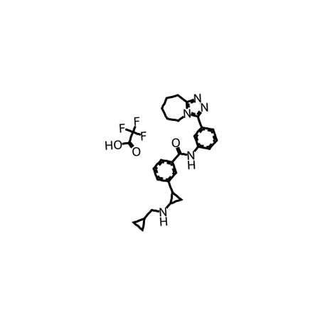 O=C(Nc1cccc(-c2nnc3n2CCCCC3)c1)c1cccc(C2CC2NCC2CC2)c1.O=C(O)C(F)(F)F